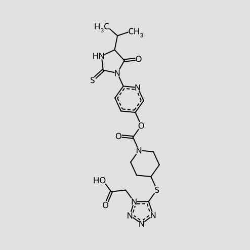 CC(C)C1NC(=S)N(c2ccc(OC(=O)N3CCC(Sc4nnnn4CC(=O)O)CC3)cn2)C1=O